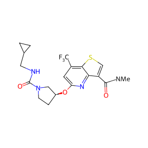 CNC(=O)c1csc2c(C(F)(F)F)cc(O[C@H]3CCN(C(=O)NCC4CC4)C3)nc12